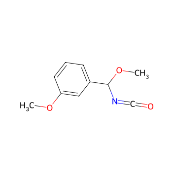 COc1cccc(C(N=C=O)OC)c1